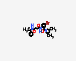 C[C@@H]1C[C@H](C)CN(C(=O)c2cc(Br)ccc2NC(=O)CCC(=O)N[C@H](C)c2ccccc2)C1